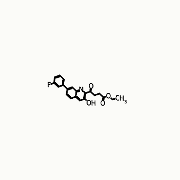 CCOC(=O)CCC(=O)c1nc2cc(-c3cccc(F)c3)ccc2cc1O